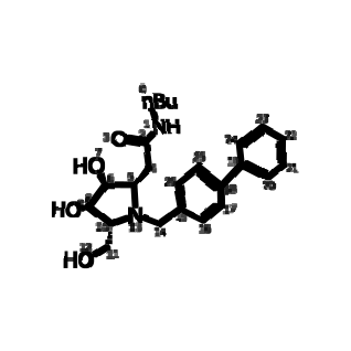 CCCCNC(=O)C[C@@H]1[C@H](O)[C@H](O)[C@@H](CO)N1Cc1ccc(-c2ccccc2)cc1